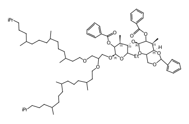 CCC1O[C@@H](OCC(COCCC(C)CCCC(C)CCCC(C)CCCC(C)C)OCCC(C)CCCC(C)CCCC(C)CCCC(C)C)C(OC(=O)c2ccccc2)[C@@H](C)[C@@H]1O[C@@H]1OC2COC(c3ccccc3)O[C@@H]2[C@H](C)C1OC(=O)c1ccccc1